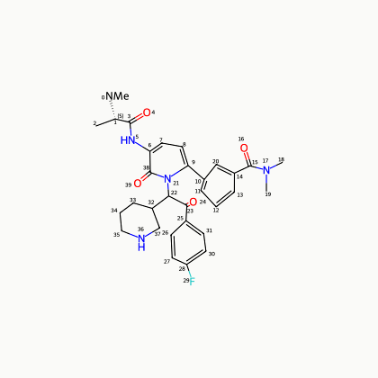 CN[C@@H](C)C(=O)Nc1ccc(-c2cccc(C(=O)N(C)C)c2)n(C(C(=O)c2ccc(F)cc2)C2CCCNC2)c1=O